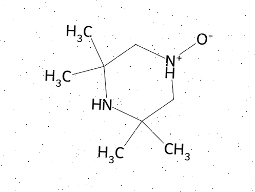 CC1(C)C[NH+]([O-])CC(C)(C)N1